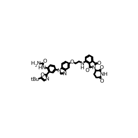 CC(C)(C)c1cnc(-c2cc(-n3cnc4cc(OCCNc5cccc6c5C(=O)N(C5CCC(=O)NC5=O)C6=O)ccc43)ccc2NC(N)=O)o1